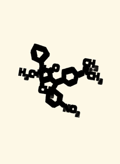 Cc1c(C(=C2C=CC(=[N+](C)C)C=C2)c2cccc([N+](=O)[O-])c2)c(=O)n(-c2ccccc2)n1C